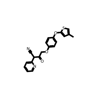 Cc1csc(Oc2ccc(OCC(=O)C(C#N)c3ccccn3)cc2)c1